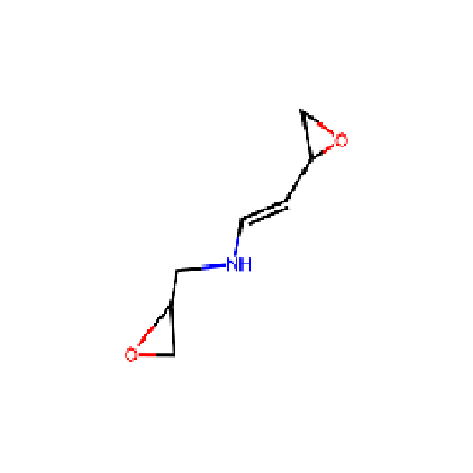 C(=CC1CO1)NCC1CO1